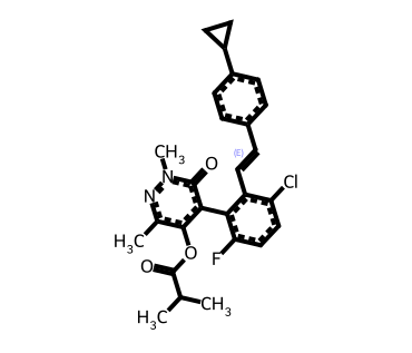 Cc1nn(C)c(=O)c(-c2c(F)ccc(Cl)c2/C=C/c2ccc(C3CC3)cc2)c1OC(=O)C(C)C